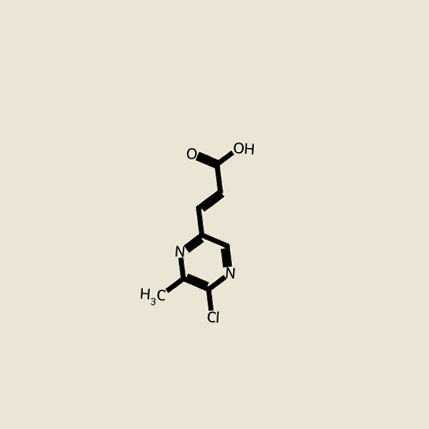 Cc1nc(C=CC(=O)O)cnc1Cl